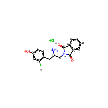 Cl.NC(Cc1ccc(O)cc1Cl)CN1C(=O)c2ccccc2C1=O